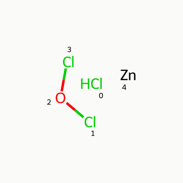 Cl.ClOCl.[Zn]